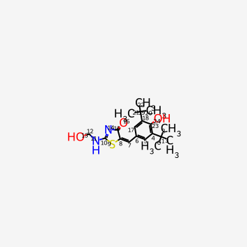 CC(C)(C)c1cc(C=C2SC(NCO)=NC2=O)cc(C(C)(C)C)c1O